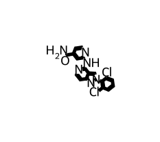 NC(=O)c1ccnc(Nc2nccc3nn(-c4c(Cl)cccc4Cl)cc23)c1